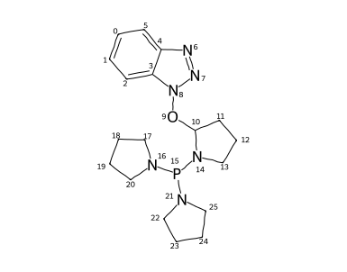 c1ccc2c(c1)nnn2OC1CCCN1P(N1CCCC1)N1CCCC1